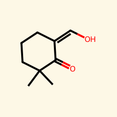 CC1(C)CCCC(=CO)C1=O